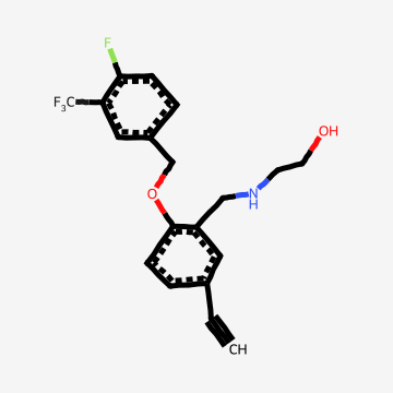 C#Cc1ccc(OCc2ccc(F)c(C(F)(F)F)c2)c(CNCCO)c1